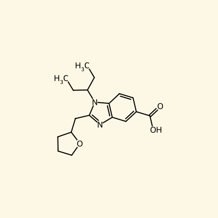 CCC(CC)n1c(CC2CCCO2)nc2cc(C(=O)O)ccc21